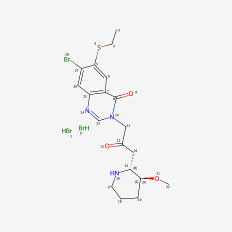 Br.Br.CCSc1cc2c(=O)n(CC(=O)C[C@H]3NCCC[C@@H]3OC)cnc2cc1Br